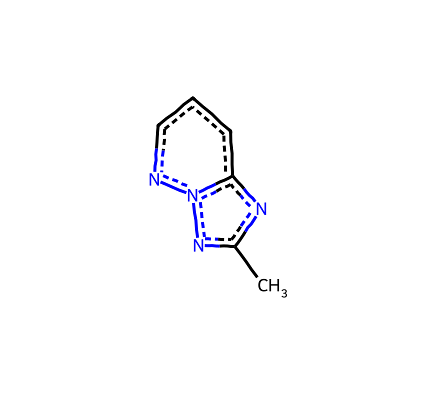 Cc1nc2cccnn2n1